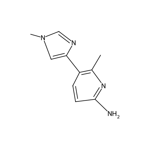 Cc1nc(N)ccc1-c1cn(C)cn1